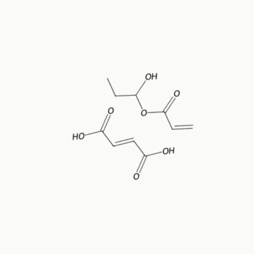 C=CC(=O)OC(O)CC.O=C(O)C=CC(=O)O